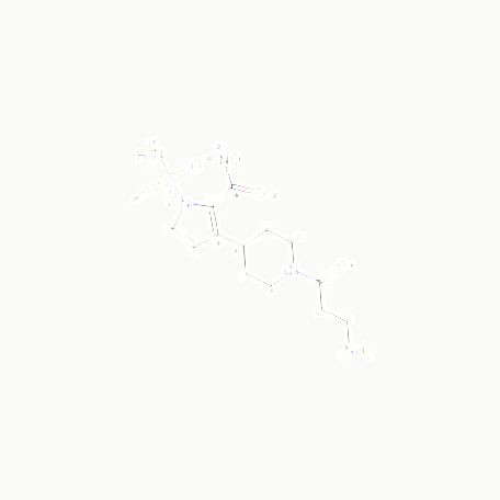 NCCC(=O)N1CCC(c2ccn(S(N)(=O)=O)c2C(=O)N=O)CC1